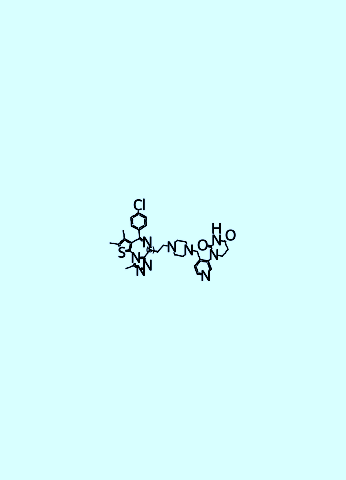 Cc1sc2c(c1C)C(c1ccc(Cl)cc1)=N[C@@H](CCN1CCN(Cc3ccncc3N3CCC(=O)NC3=O)CC1)c1nnc(C)n1-2